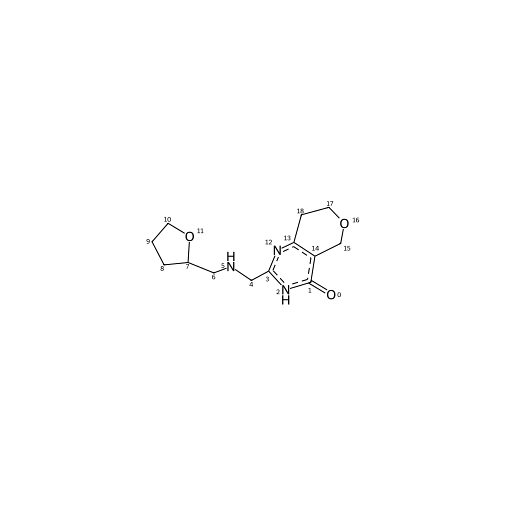 O=c1[nH]c(CNCC2CCCO2)nc2c1COCC2